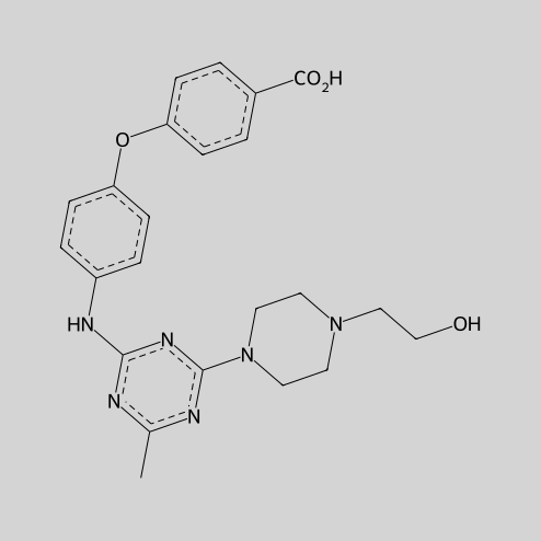 Cc1nc(Nc2ccc(Oc3ccc(C(=O)O)cc3)cc2)nc(N2CCN(CCO)CC2)n1